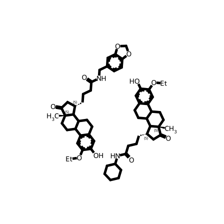 CCOc1cc2c(cc1O)CCC1C2CC[C@]2(C)C(=O)C[C@H](CCCC(=O)NC3CCCCC3)C12.CCOc1cc2c(cc1O)CCC1C2CC[C@]2(C)C(=O)C[C@H](CCCC(=O)NCc3ccc4c(c3)OCO4)C12